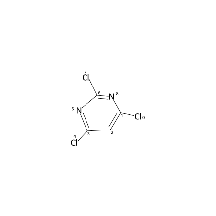 Clc1[c]c(Cl)nc(Cl)n1